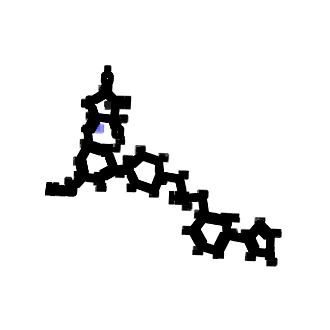 COc1cc(/C=C2/SC(=O)NC2=O)nc(N2CCC(CNCc3cccc(-c4ccsc4)n3)CC2)n1